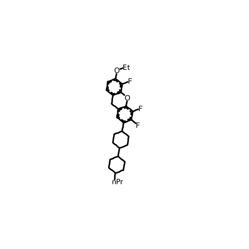 CCCC1CCC(C2CCC(c3cc4c(c(F)c3F)Oc3c(ccc(OCC)c3F)C4)CC2)CC1